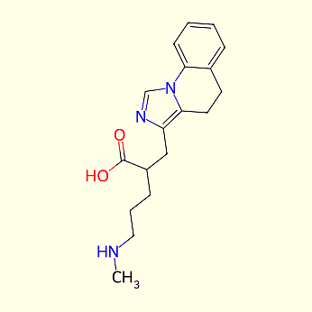 CNCCCC(Cc1ncn2c1CCc1ccccc1-2)C(=O)O